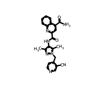 Cc1nn(Cc2ccncc2C#N)c(C)c1NC(=O)c1cc(C(N)=O)c2ccccc2n1